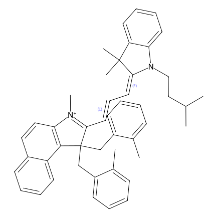 Cc1ccccc1CC1(Cc2ccccc2C)C(/C=C/C=C2/N(CCC(C)C)c3ccccc3C2(C)C)=[N+](C)c2ccc3ccccc3c21